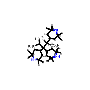 CC(C(=O)O)C(C1CC(C)(C)NC(C)(C)C1)(C1CC(C)(C)NC(C)(C)C1)C(C(=O)O)(C(=O)O)C1CC(C)(C)NC(C)(C)C1